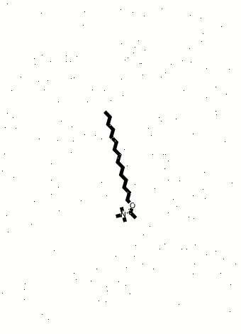 CCCCCCCCCCCCCCCOC(C)[N+](C)(C)C